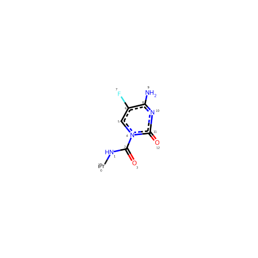 CC(C)NC(=O)n1cc(F)c(N)nc1=O